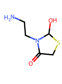 NCCN1C(=O)CSC1O